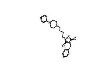 O=c1sn(CCCCN2CCN(c3ccccc3)CC2)c(=O)n1Cc1ccccc1